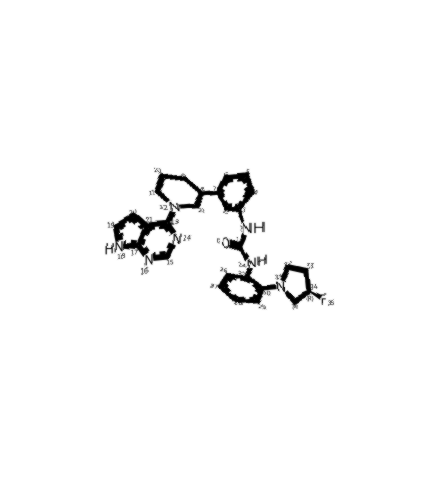 O=C(Nc1cccc(C2CCCN(c3ncnc4[nH]ccc34)C2)c1)Nc1ccccc1N1CC[C@@H](F)C1